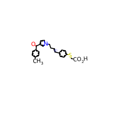 Cc1ccc(C(=O)c2ccn(CC/C=C/c3ccc(SCC(=O)O)cc3)c2)cc1